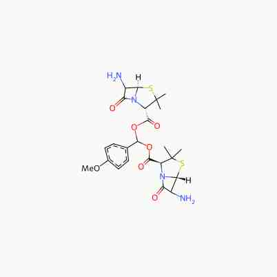 COc1ccc(C(OC(=O)[C@@H]2N3C(=O)C(N)[C@H]3SC2(C)C)OC(=O)[C@@H]2N3C(=O)C(N)[C@H]3SC2(C)C)cc1